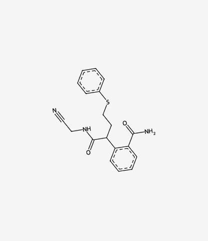 N#CCNC(=O)C(CCSc1ccccc1)c1ccccc1C(N)=O